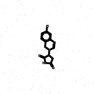 O=C1CC(N2C=Nc3cc(Cl)ccc3C2)C(=O)N1